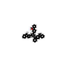 CC1(C)c2ccccc2-c2ccc(-c3nc(-c4ccc5c(c4)C(C)(C)c4ccccc4-5)nc(-n4c5ccccc5c5cc6c(cc54)C(C)(C)c4ccccc4-6)n3)cc21